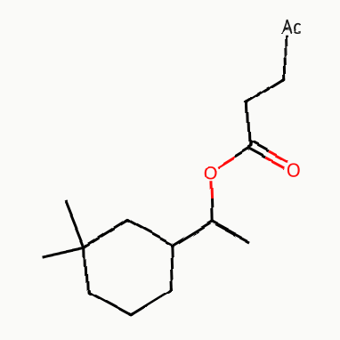 CC(=O)CCC(=O)OC(C)C1CCCC(C)(C)C1